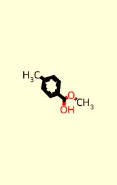 COC(O)c1ccc(C)cc1